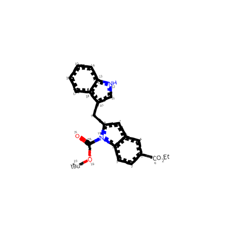 CCOC(=O)c1ccc2c(c1)cc(Cc1c[nH]c3ccccc13)n2C(=O)OC(C)(C)C